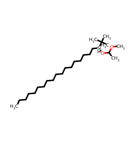 CCCCCCCCCCCCCCCCCC[SiH](OC(C)OC)C(C)(C)C